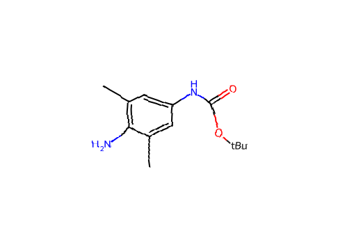 Cc1cc(NC(=O)OC(C)(C)C)cc(C)c1N